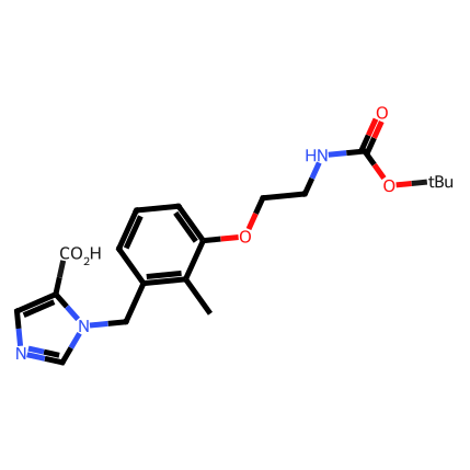 Cc1c(Cn2cncc2C(=O)O)cccc1OCCNC(=O)OC(C)(C)C